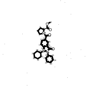 COC(=O)[C@@H]1CCCN1C(=O)c1ccc2c(c1)c(=O)n(-c1ccccc1)n2C1CCCCC1